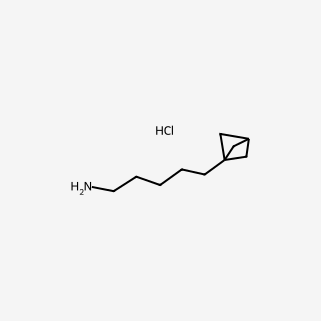 Cl.NCCCCCC12CC(C1)C2